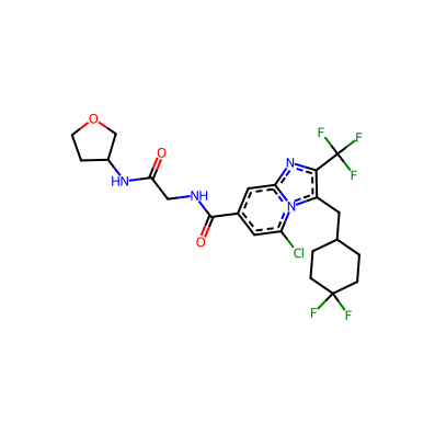 O=C(CNC(=O)c1cc(Cl)n2c(CC3CCC(F)(F)CC3)c(C(F)(F)F)nc2c1)NC1CCOC1